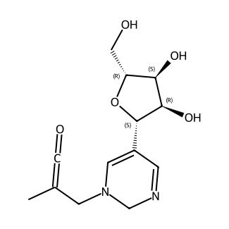 CC(=C=O)CN1C=C([C@@H]2O[C@H](CO)[C@@H](O)[C@H]2O)C=NC1